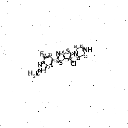 Cn1cc2cc(-c3nc4sc(N5CCNCC5)c(Cl)c4s3)cc(F)c2n1